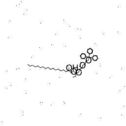 CCCCCCCCCCCCCCCCC(O)COC(CC)OCCOCCOC(c1ccccc1)(c1ccccc1)c1ccccc1